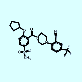 CS(=O)(=O)c1ccc(OC2CCCC2)c(C(=O)N2CCN(c3ccc(C(F)(F)F)cc3C#N)CC2)c1